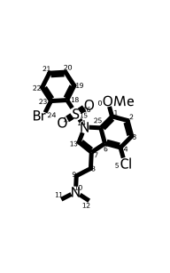 COc1ccc(Cl)c2c(CCN(C)C)cn(S(=O)(=O)c3ccccc3Br)c12